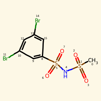 CS(=O)(=O)NS(=O)(=O)c1cc(Br)cc(Br)c1